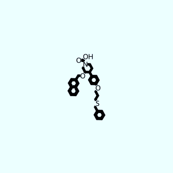 O=C(O)N1CCC(c2ccc(OCCCSCc3ccccc3)cc2)C(OCc2ccc3ccccc3c2)C1